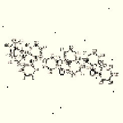 c1ccc2c(c1)-c1c(-c3ccc4c(c3)-c3cccc5c(-c6cccc7c6oc6ccccc67)ccc(c35)O4)cccc1C21C2CC3CC(C2)CC1C3